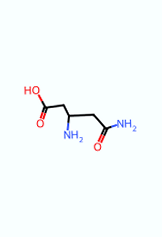 NC(=O)CC(N)CC(=O)O